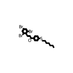 CCCCCCCSc1ccc(C(=O)C=Cc2c(Br)cc(Br)cc2Br)cc1